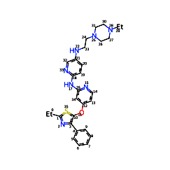 CCc1nc(-c2ccccc2)c(Oc2ccnc(Nc3ccc(NCCN4CCN(CC)CC4)cn3)c2)s1